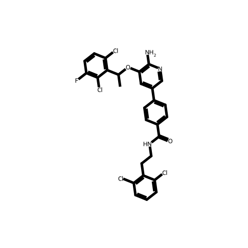 CC(Oc1cc(-c2ccc(C(=O)NCCc3c(Cl)cccc3Cl)cc2)cnc1N)c1c(Cl)ccc(F)c1Cl